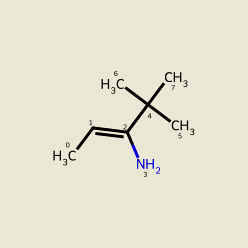 CC=C(N)C(C)(C)C